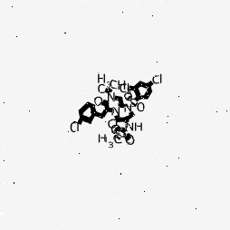 CC(C)N1CC2N(C(=O)C(NS(C)(=O)=O)CN2S(=O)(=O)c2ccc(Cl)cc2Cl)C(Cc2cccc(Cl)c2)C1=O